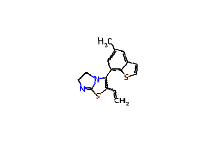 C=CC1=C(c2cc(C)cc3ccsc23)N2CCN=C2S1